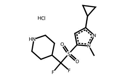 Cl.Cn1nc(C2CC2)cc1S(=O)(=O)C(F)(F)C1CCNCC1